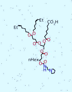 CC/C=C\CCCCOC(CCC(=O)OCC(COC(=O)CCCCCCC(=O)O)COC(=O)CCC(CCCCCC)OC(=O)NCCN1CCCC1)OCCCC/C=C\CC